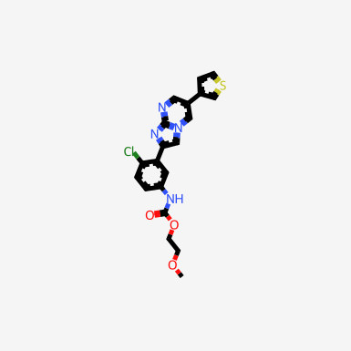 COCCOC(=O)Nc1ccc(Cl)c(-c2cn3cc(-c4ccsc4)cnc3n2)c1